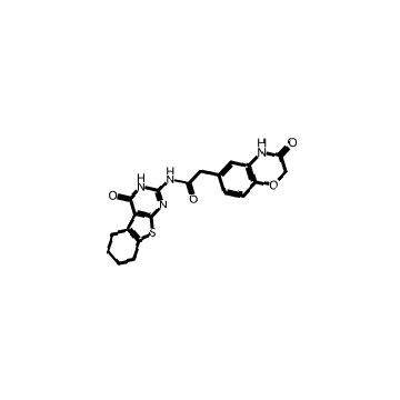 O=C(Cc1ccc2c(c1)NC(=O)CO2)Nc1nc2sc3c(c2c(=O)[nH]1)CCCC3